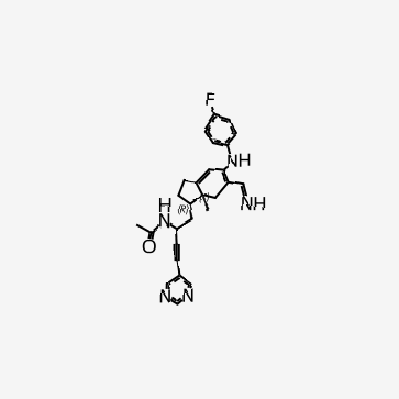 CC(=O)NC(C#Cc1cncnc1)C[C@H]1CCC2=CC(Nc3ccc(F)cc3)=C(C=N)C[C@@]21C